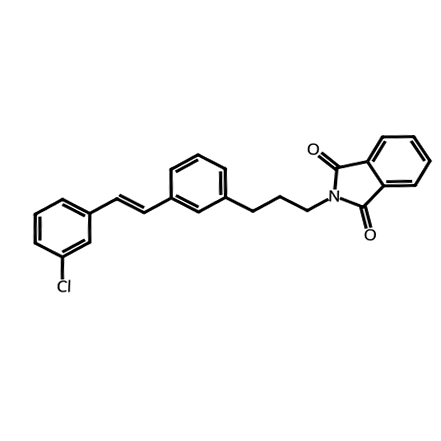 O=C1c2ccccc2C(=O)N1CCCc1cccc(C=Cc2cccc(Cl)c2)c1